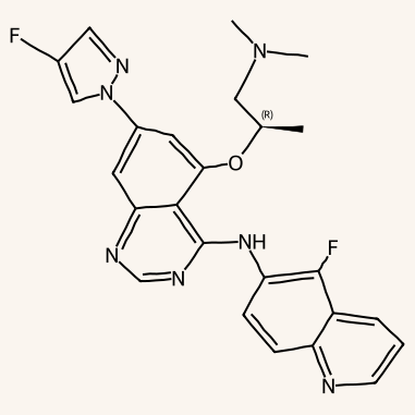 C[C@H](CN(C)C)Oc1cc(-n2cc(F)cn2)cc2ncnc(Nc3ccc4ncccc4c3F)c12